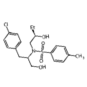 CC[C@@H](O)CN(C(CO)Cc1ccc(Cl)cc1)S(=O)(=O)c1ccc(C)cc1